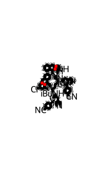 CCC(C)C(NC(=O)Cc1cncn1Cc1ccc(C#N)cc1)C(CCC(C)C(CN(Cc1ncc[nH]1)Cc1cccc2ccccc12)NC(=O)Cc1cncn1Cc1ccc(C#N)cc1)N(Cc1cccc(Cl)c1)Cc1cccc2ccccc12